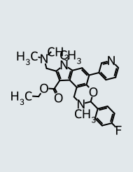 CCOC(=O)c1c(CN(C)C)n(C)c2cc(-c3cccnc3)c3c(c12)CN(C)C(c1ccc(F)cc1)O3